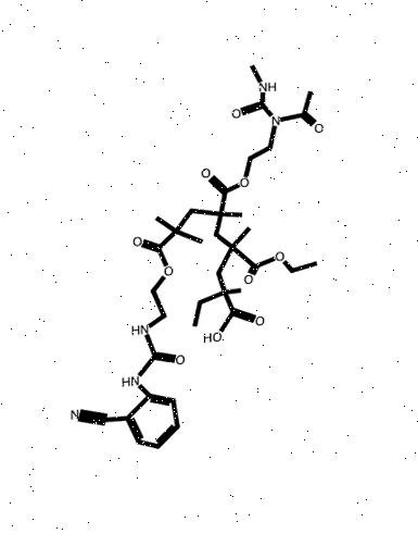 CCOC(=O)C(C)(CC(C)(CC)C(=O)O)CC(C)(CC(C)(C)C(=O)OCCNC(=O)Nc1ccccc1C#N)C(=O)OCCN(C(C)=O)C(=O)NC